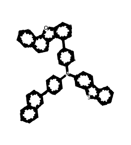 c1ccc2cc(-c3ccc(N(c4ccc(-c5cccc6oc7c8ccccc8ccc7c56)cc4)c4ccc5c(c4)sc4ccccc45)cc3)ccc2c1